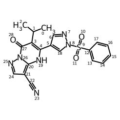 CC(C)c1c(-c2cnn(S(=O)(=O)c3ccccc3)c2)[nH]c2c(C#N)cnn2c1=O